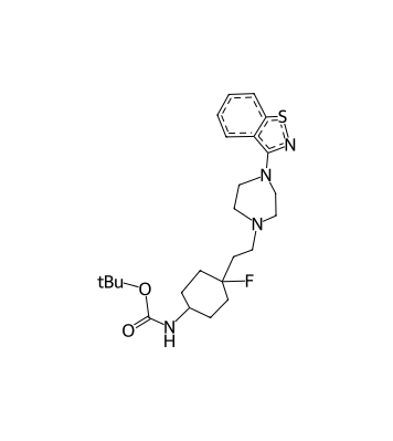 CC(C)(C)OC(=O)NC1CCC(F)(CCN2CCN(c3nsc4ccccc34)CC2)CC1